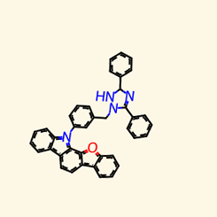 c1ccc(C2=NC(c3ccccc3)NN2Cc2cccc(-n3c4ccccc4c4ccc5c6ccccc6oc5c43)c2)cc1